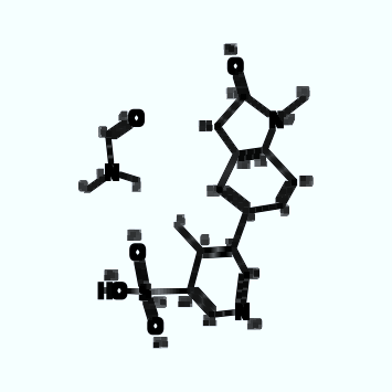 CN(C)C=O.Cc1c(-c2ccc3c(c2)CC(=O)N3C)cncc1S(=O)(=O)O